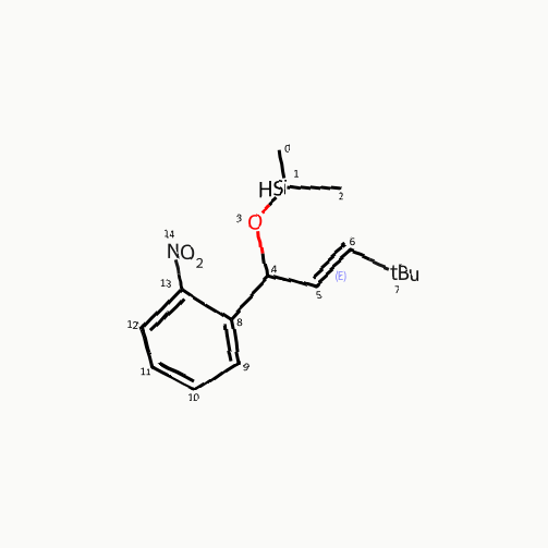 C[SiH](C)OC(/C=C/C(C)(C)C)c1ccccc1[N+](=O)[O-]